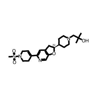 CC(C)(O)CN1CCC([C@@H]2Cc3cc(C4=CCN(S(C)(=O)=O)CC4)ncc3O2)CC1